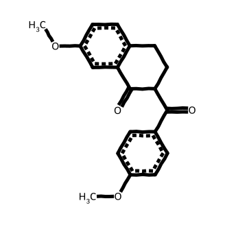 COc1ccc(C(=O)C2CCc3ccc(OC)cc3C2=O)cc1